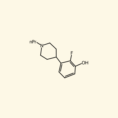 CCCN1CCC(c2cccc(O)c2F)CC1